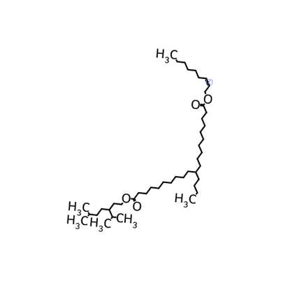 CCCCCC/C=C\COC(=O)CCCCCCCCCC(CCCC)CCCCCCCCCC(=O)OCCC(CCC(C)C)C(C)C